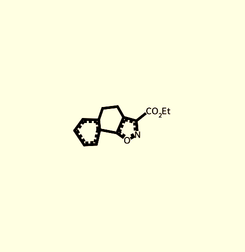 CCOC(=O)c1noc2c1CCc1ccccc1-2